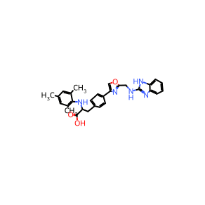 Cc1cc(C)c(NC(Cc2ccc(-c3coc(CNc4nc5ccccc5[nH]4)n3)cc2)C(=O)O)c(C)c1